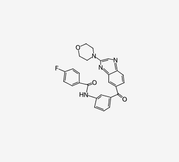 O=C(Nc1cccc(C(=O)c2ccc3ncc(N4CCOCC4)nc3c2)c1)c1ccc(F)cc1